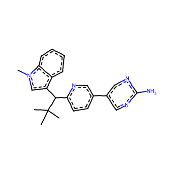 Cn1cc(C(c2ccc(-c3cnc(N)nc3)cn2)C(C)(C)C)c2ccccc21